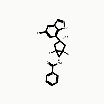 O=C(N[C@@H]1[C@@H]2C[C@@](O)(c3cc(Cl)cc4cn[nH]c34)C[C@@H]21)c1ccccc1